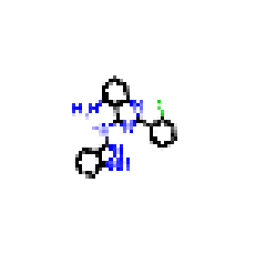 Nc1cccc2nc(-c3ccccc3Cl)nc(Nc3n[nH]c4ccccc34)c12